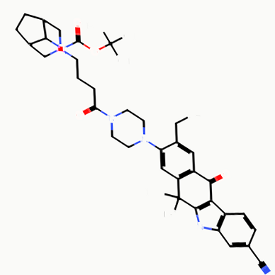 CCc1cc2c(cc1N1CCN(C(=O)CCCN3CC4CCC(C3)C4NC(=O)OC(C)(C)C)CC1)C(C)(C)c1[nH]c3cc(C#N)ccc3c1C2=O